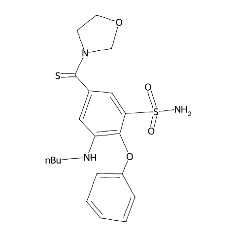 CCCCNc1cc(C(=S)N2CCOC2)cc(S(N)(=O)=O)c1Oc1ccccc1